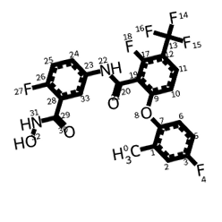 Cc1cc(F)ccc1Oc1ccc(C(F)(F)F)c(F)c1C(=O)Nc1ccc(F)c(C(=O)NO)c1